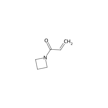 C=CC(=O)N1CCC1